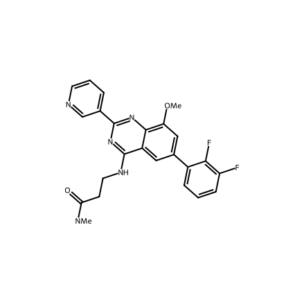 CNC(=O)CCNc1nc(-c2cccnc2)nc2c(OC)cc(-c3cccc(F)c3F)cc12